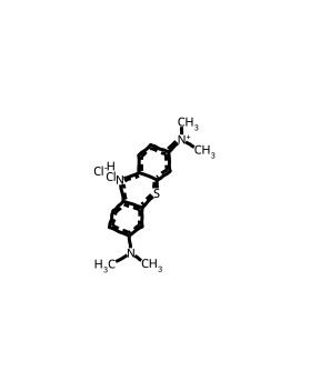 CN(C)c1ccc2nc3ccc(=[N+](C)C)cc-3sc2c1.Cl.[Cl-]